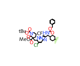 COC(=O)C1(Cc2nn3cc([C@@H](NC(=O)OCc4ccccc4)C4CCC(F)(F)CC4)nc3cc2Cl)C[C@@H](C(F)(F)F)CN(C(=O)OC(C)(C)C)C1=O